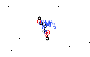 N=C(N)c1c(N)cc(C2CCCN(C(=O)OCc3ccccc3)C2)nc1-c1ccc(Oc2ccccc2)cc1